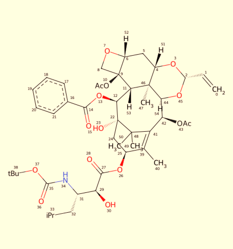 C=C[C@H]1O[C@H]2C[C@H]3OC[C@@]3(OC(C)=O)[C@H]3[C@H](OC(=O)c4ccccc4)[C@]4(O)C[C@H](OC(=O)[C@@H](O)[C@H](CC(C)C)NC(=O)OC(C)(C)C)C(C)=C([C@H](OC(C)=O)[C@H](O1)[C@]23C)C4(C)C